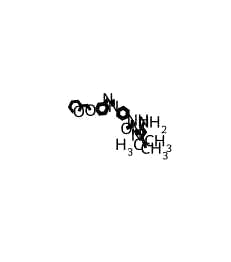 CC(C)(C)c1cc(N)n(C(=O)Nc2ccc(-n3cnc4cc(OCC5CCCCO5)ccc43)cc2)n1